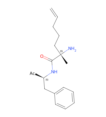 C=CCCC[C@](C)(N)C(=O)N[C@@H](Cc1ccccc1)C(C)=O